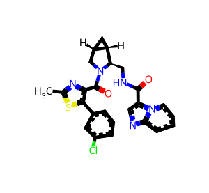 Cc1nc(C(=O)N2C[C@@H]3C[C@@H]3[C@H]2CNC(=O)c2cnc3ccccn23)c(-c2cccc(Cl)c2)s1